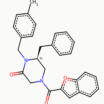 Cc1ccc(CN2C(=O)CN(C(=O)c3cc4ccccc4o3)C[C@@H]2Cc2ccccc2)cc1